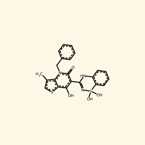 Cc1csc2c(O)c(C3=NS(O)(O)c4ccccc4N3)c(=O)n(Cc3ccccc3)c12